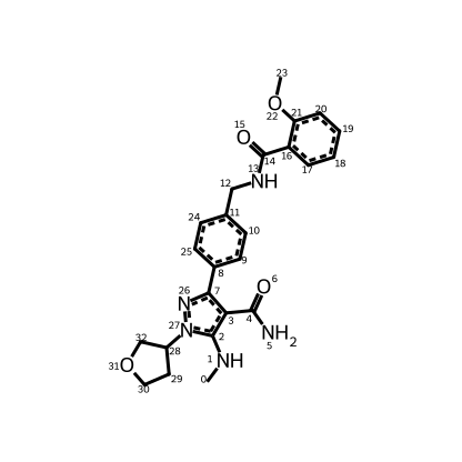 CNc1c(C(N)=O)c(-c2ccc(CNC(=O)c3ccccc3OC)cc2)nn1C1CCOC1